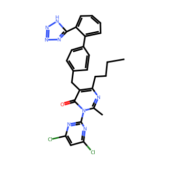 CCCCc1nc(C)n(-c2nc(Cl)cc(Cl)n2)c(=O)c1Cc1ccc(-c2ccccc2-c2nnn[nH]2)cc1